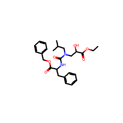 CCOC(=O)C(O)CN(CC(C)C)C(=O)NC(Cc1ccccc1)C(=O)OCc1ccccc1